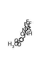 CS(=O)(=O)c1ccc(CC(=O)Nc2ncn3c(C(F)(F)F)csc23)cc1